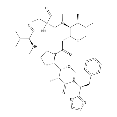 CC[C@H](C)[C@@H]([C@@H](CC(=O)N1CCC[C@H]1[C@H](OC)[C@@H](C)C(=O)N[C@@H](Cc1ccccc1)c1nccs1)OC)N(C)C[C@](C=O)(NC(=O)[C@@H](NC)C(C)C)C(C)C